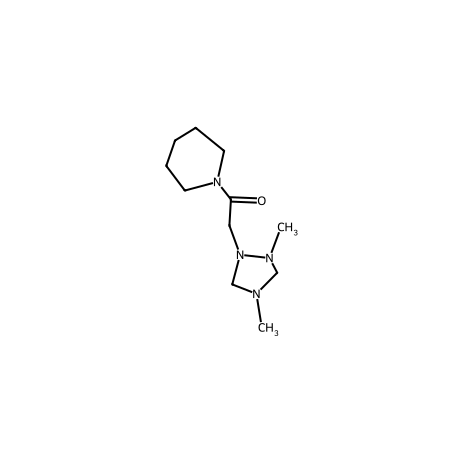 CN1CN(C)N(CC(=O)N2CCCCC2)C1